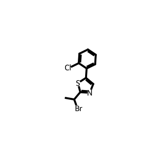 CC(Br)c1ncc(-c2ccccc2Cl)s1